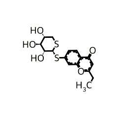 CCc1cc(=O)c2ccc(S[C@@H]3SC[C@@H](O)[C@H](O)[C@H]3O)cc2o1